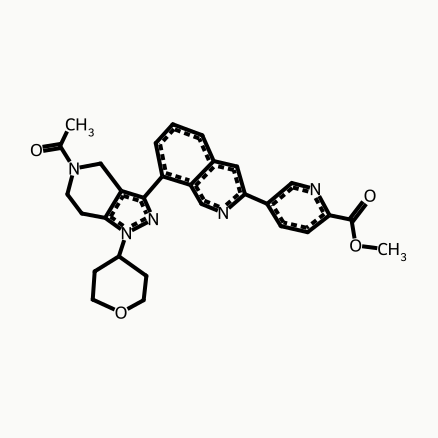 COC(=O)c1ccc(-c2cc3cccc(-c4nn(C5CCOCC5)c5c4CN(C(C)=O)CC5)c3cn2)cn1